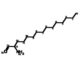 CCCCCCCCCCCCCC(N)C=O